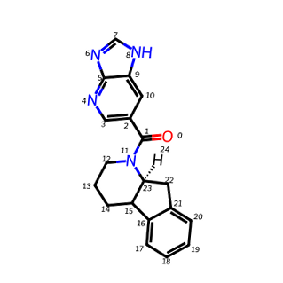 O=C(c1cnc2nc[nH]c2c1)N1CCCC2c3ccccc3C[C@@H]21